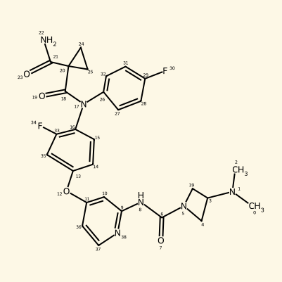 CN(C)C1CN(C(=O)Nc2cc(Oc3ccc(N(C(=O)C4(C(N)=O)CC4)c4ccc(F)cc4)c(F)c3)ccn2)C1